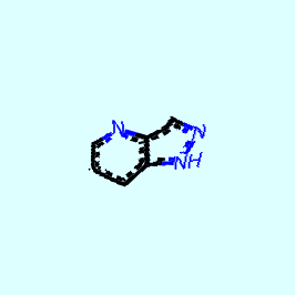 [c]1cnc2cn[nH]c2c1